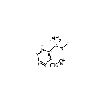 CC[C@@H](N)c1ccccn1.OCl